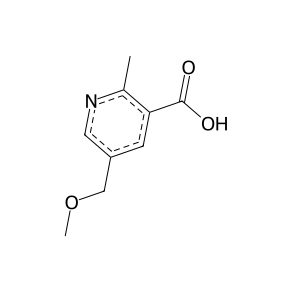 COCc1cnc(C)c(C(=O)O)c1